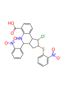 O=C(O)c1cccc2c1NC(c1ccccc1[N+](=O)[O-])C1CC(Sc3ccccc3[N+](=O)[O-])C(Cl)C21